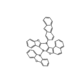 c1ccc2c(c1)Oc1ccccc1N2B1c2oc3ccc4ccccc4c3c2B(c2ccc3cc4ccccc4cc3c2)c2oc3ccccc3c21